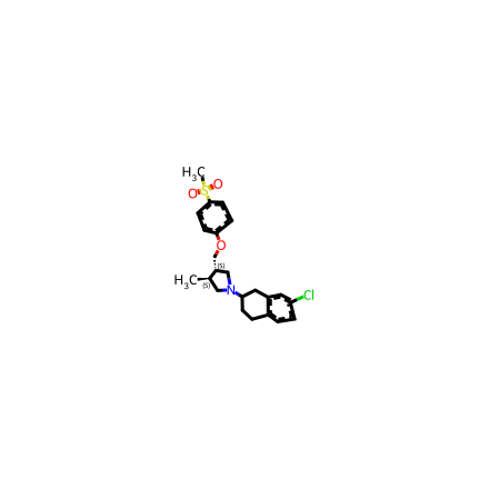 C[C@@H]1CN(C2CCc3ccc(Cl)cc3C2)C[C@H]1COc1ccc(S(C)(=O)=O)cc1